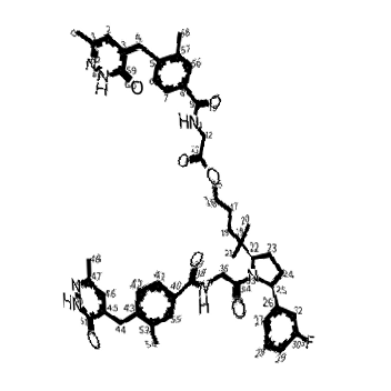 Cc1cc(Cc2ccc(C(=O)NCC(=O)OCCCC(C)(C)[C@H]3CC[C@@H](c4cccc(F)c4)N3C(=O)CNC(=O)c3ccc(Cc4cc(C)n[nH]c4=O)c(C)c3)cc2C)c(=O)[nH]n1